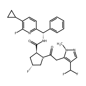 Cn1ncc(C(F)F)c1CC(=O)N1C[C@H](F)C[C@H]1C(=O)N[C@@H](c1ccccc1)c1ccc(C2CC2)c(F)n1